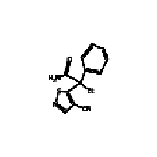 CCC(C(N)=O)(c1ccccc1)c1sncc1C#N